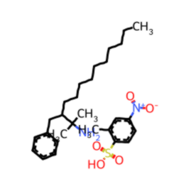 CCCCCCCCCCC(Cc1ccccc1)C(C)(C)N.Cc1cc([N+](=O)[O-])ccc1S(=O)(=O)O